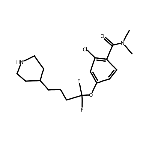 CN(C)C(=O)c1ccc(OC(F)(F)CCCC2CCNCC2)cc1Cl